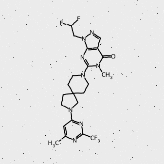 Cc1cc(N2CCC3(CCN(c4nc5c(cnn5CC(F)F)c(=O)n4C)CC3)C2)nc(C(F)(F)F)n1